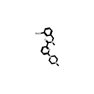 COc1cccc(CN(C)C(=O)c2cccc(N3CCN(C)CC3)n2)c1